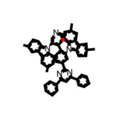 Cc1ccc2c(c1)c1cc(C)ccc1n2-c1cnccc1-c1ccc(-c2nc(-c3ccccc3)cc(-c3ccccc3)n2)cc1-n1c2ccc(C)cc2c2cc(C)ccc21